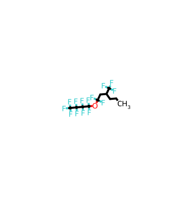 CCCC(CC(F)(F)OC(F)(F)C(F)(F)C(F)(F)C(F)(F)F)C(F)(F)F